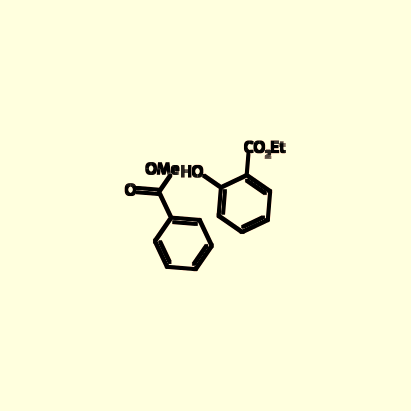 CCOC(=O)c1ccccc1O.COC(=O)c1ccccc1